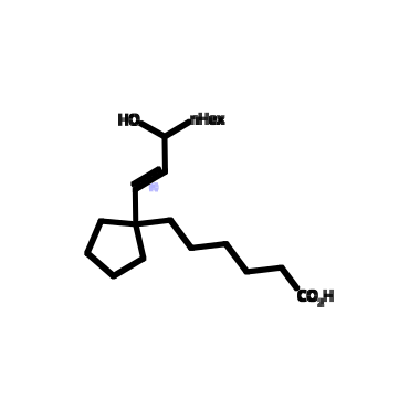 CCCCCCC(O)/C=C/C1(CCCCCC(=O)O)CCCC1